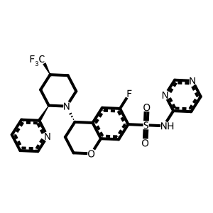 O=S(=O)(Nc1ccncn1)c1cc2c(cc1F)[C@@H](N1CC[C@H](C(F)(F)F)C[C@@H]1c1ccccn1)CCO2